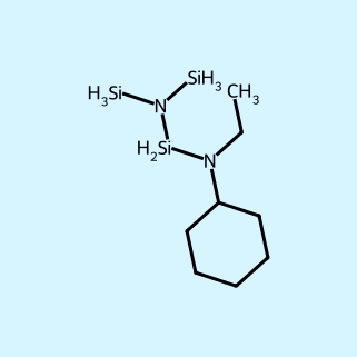 CCN([SiH2]N([SiH3])[SiH3])C1CCCCC1